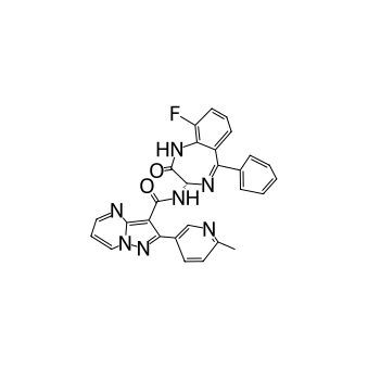 Cc1ccc(-c2nn3cccnc3c2C(=O)N[C@H]2N=C(c3ccccc3)c3cccc(F)c3NC2=O)cn1